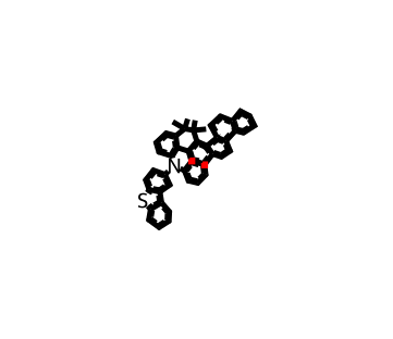 CC1(C)c2cccc(N(c3ccccc3)c3ccc4sc5ccccc5c4c3)c2-c2ccc3ccc4c5ccccc5ccc4c3c2C1(C)C